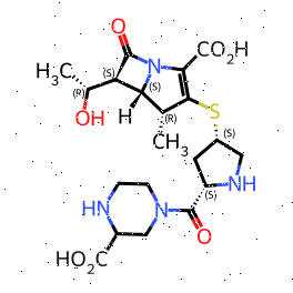 C[C@@H](O)[C@H]1C(=O)N2C(C(=O)O)=C(S[C@@H]3CN[C@H](C(=O)N4CCNC(C(=O)O)C4)C3)[C@H](C)[C@H]12